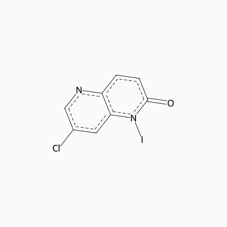 O=c1ccc2ncc(Cl)cc2n1I